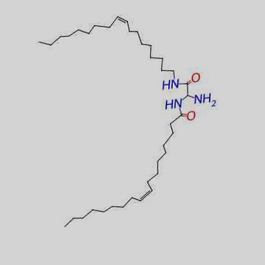 CCCCCCCC/C=C\CCCCCCCCNC(=O)C(N)NC(=O)CCCCCCC/C=C\CCCCCCCC